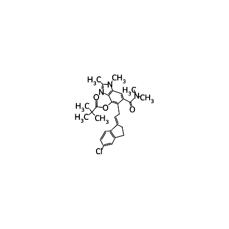 Cc1nc2c(OC(=O)C(C)(C)C)c(CC=C3CCc4cc(Cl)ccc43)c(C(=O)N(C)C)cc2n1C